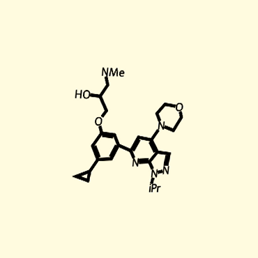 CNCC(O)COc1cc(-c2cc(N3CCOCC3)c3cnn(C(C)C)c3n2)cc(C2CC2)c1